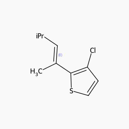 C/C(=C\C(C)C)c1sccc1Cl